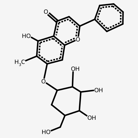 Cc1c(OC2CC(CO)C(O)C(O)C2O)cc2oc(-c3ccccc3)cc(=O)c2c1O